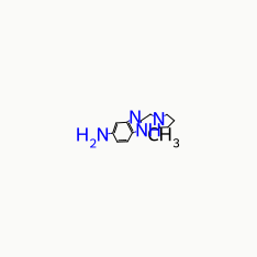 C[C@H]1CCCN1Cc1nc2cc(N)ccc2[nH]1